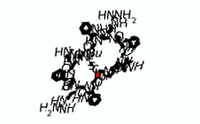 CCCCN1C(=O)N[C@@H](Cc2c[nH]cn2)C(=O)N[C@H](Cc2ccccc2)C(=O)N[C@@H](CCCNC(=N)N)C(=O)N[C@@H](Cc2c[nH]c3ccccc23)C(=O)N[C@H]2CSSC1NC(=O)[C@H](Cc1c[nH]c3ccccc13)NC(=O)[C@H](CCCNC(=N)N)NC(=O)[C@@H](Cc1ccccc1)NC(=O)[C@H](Cc1c[nH]cn1)NC(=O)[C@@H]1CCCN1C2=O